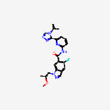 COC(C)Cn1ncc2cc(F)c(C(=O)Nc3cccc(-c4nncn4C(C)C)n3)cc21